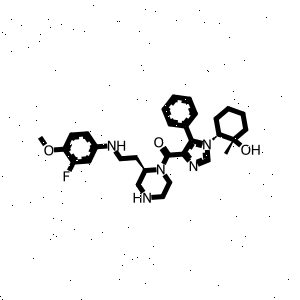 COc1ccc(NCC[C@@H]2CNCCN2C(=O)c2ncn([C@@H]3CCCC[C@]3(C)O)c2-c2ccccc2)cc1F